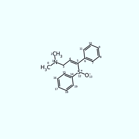 CN(C)CC=C(c1ccccc1)[S+]([O-])c1ccccc1